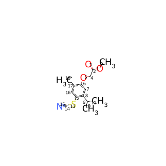 COC(=O)COc1cc(C(C)C)c(SC#N)cc1C